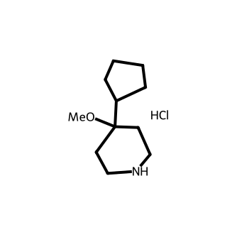 COC1(C2CCCC2)CCNCC1.Cl